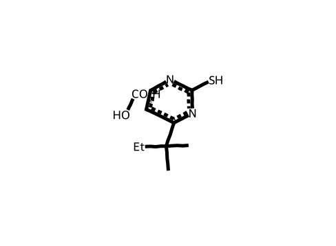 CCC(C)(C)c1ccnc(S)n1.O=C(O)O